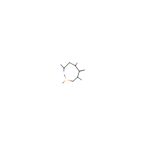 CC1CC(C)C(C(C)(C)C)C(C)CP(C)N1